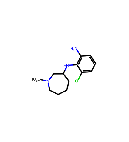 Nc1cccc(Cl)c1NC1CCCCN(C(=O)O)C1